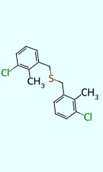 Cc1c(Cl)cccc1CSCc1cccc(Cl)c1C